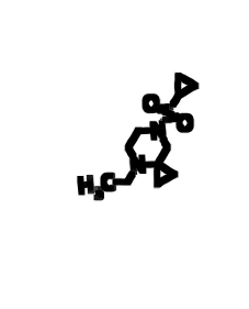 CCN1CCN(S(=O)(=O)C2CC2)CC12CC2